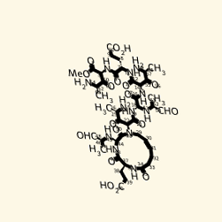 COC(=O)[C@@H](NC(=O)[C@H](CCC(=O)O)NC(=O)[C@@H](NC(=O)[C@@H](NC(=O)[C@H](C(=O)[C@H](C)N)N1C/C=C\CCC(=O)N[C@@H](CCC(=O)O)C(=O)N[C@@H](N[C@@H](C)C=O)C1=O)N[C@@H](C)C=O)C(=O)[C@H](C)N)C(=O)[C@H](C)N